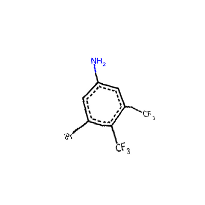 CC(C)c1cc(N)cc(C(F)(F)F)c1C(F)(F)F